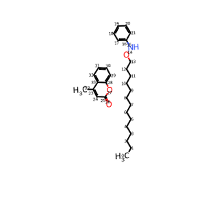 CCCCCCCCCCCCCCONc1ccccc1.Cc1cc(=O)oc2ccccc12